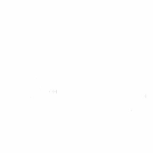 CCC(CC)CC(CCCCCCCCCC(=O)O)(CC(CC)CC)C(=O)O